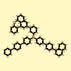 c1ccc(-c2ccc(-c3ccc(N(c4ccc(-c5ccc(-c6cccc7ccccc67)cc5)cc4)c4cccc(-c5cc6c7c(cccc7c5)Oc5ccccc5-6)c4)cc3)cc2)cc1